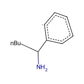 CCCCC(N)c1[c]cccc1